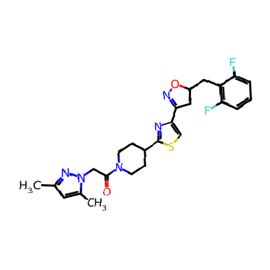 Cc1cc(C)n(CC(=O)N2CCC(c3nc(C4=NOC(Cc5c(F)cccc5F)C4)cs3)CC2)n1